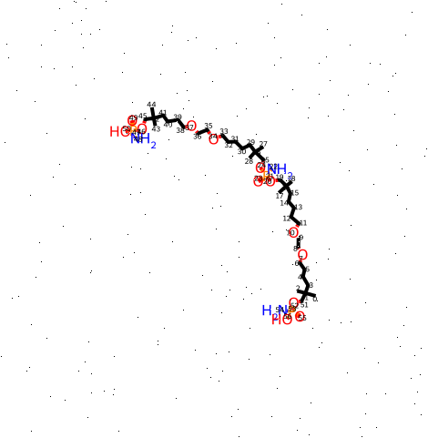 CC(C)(CCCCOCCOCCCCCC(C)(C)COP(N)(=O)OCC(C)(C)CCCCCOCCOCCCCC(C)(C)COP(N)(=O)O)COP(N)(=O)O